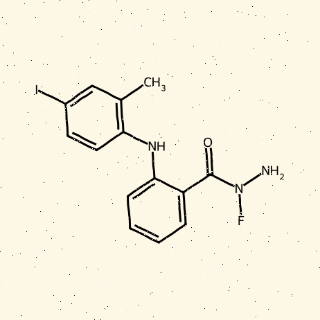 Cc1cc(I)ccc1Nc1ccccc1C(=O)N(N)F